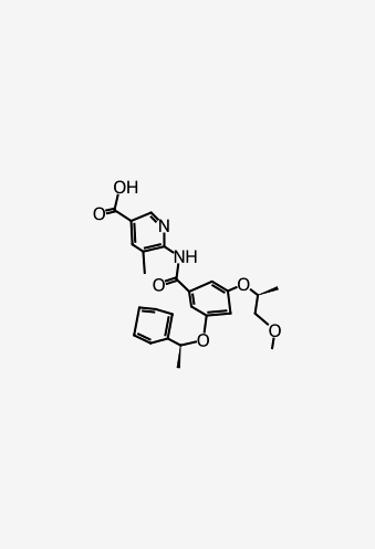 COC[C@H](C)Oc1cc(O[C@@H](C)c2ccccc2)cc(C(=O)Nc2ncc(C(=O)O)cc2C)c1